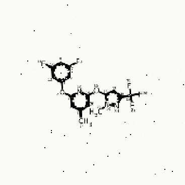 Cc1cc(Oc2cc(F)cc(F)c2)nc(Oc2cc(C(F)(F)F)nn2C)c1